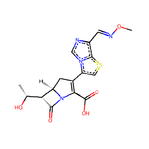 CON=Cc1ncn2c(C3=C(C(=O)O)N4C(=O)[C@H]([C@@H](C)O)[C@H]4C3)csc12